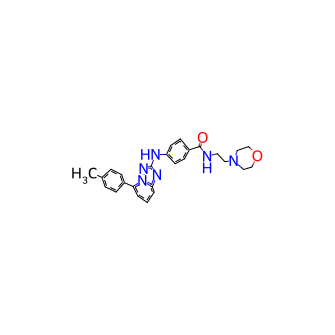 Cc1ccc(-c2cccc3nc(Nc4ccc(C(=O)NCCN5CCOCC5)cc4)nn23)cc1